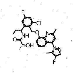 CC[C@H](NC(=O)[C@@H](C)O)c1cc(F)cc(Cl)c1COc1cccc2c(-n3ncc(F)c3C)cc(C)nc12